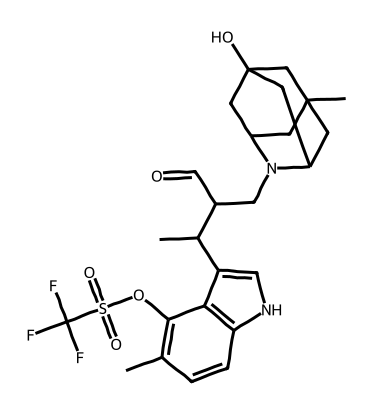 Cc1ccc2[nH]cc(C(C)C(C=O)CN3C4CC5(C)CC3CC(O)(C4)C5)c2c1OS(=O)(=O)C(F)(F)F